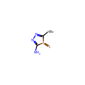 CCCCC1=NN=C(N)S1=S